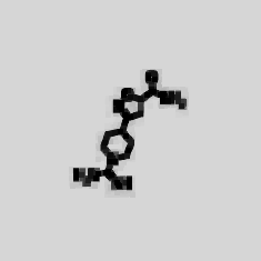 N=C(N)N1CCC(C2=NOC(C(N)=O)C2)CC1